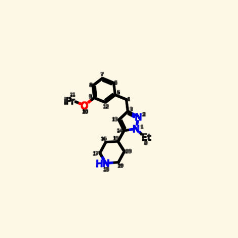 CCn1nc(Cc2cccc(OC(C)C)c2)cc1C1CCNCC1